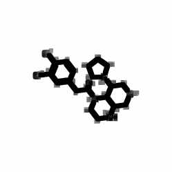 O=C(Cc1ccc(Cl)c(Cl)c1)N1CCNC2COCC(N3CCCC3)C21